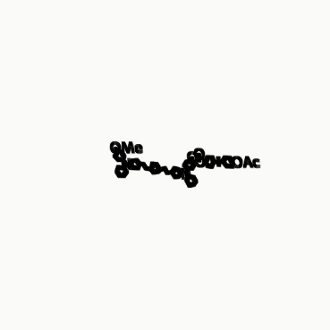 COc1ccc(N(c2ccccc2)c2ccc(CCc3ccc(CCc4ccc(N(c5ccccc5)c5ccc(OC(=O)Oc6ccc(C(C)(C)c7ccc(OC(C)=O)cc7)cc6)cc5)cc4)cc3)cc2)cc1